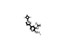 Nc1ncc(-c2ccn(C3CCC3)n2)cc1OC(F)F